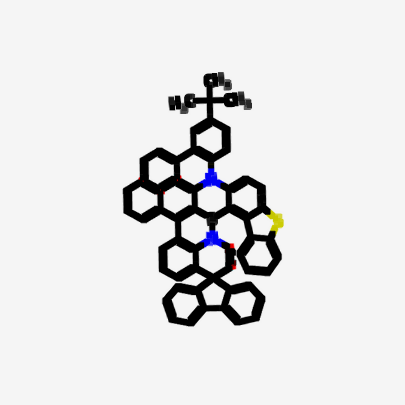 CC(C)(C)c1ccc(N2c3cc4ccccc4c4c3B(c3c2ccc2sc5ccccc5c32)N2c3ccccc3C3(c5ccccc5-c5ccccc53)c3cccc-4c32)c(-c2ccccc2)c1